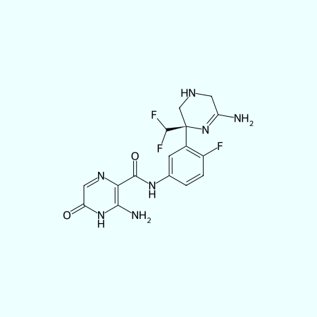 NC1=N[C@@](c2cc(NC(=O)c3ncc(=O)[nH]c3N)ccc2F)(C(F)F)CNC1